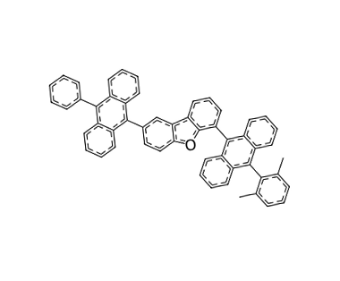 Cc1cccc(C)c1-c1c2ccccc2c(-c2cccc3c2oc2ccc(-c4c5ccccc5c(-c5ccccc5)c5ccccc45)cc23)c2ccccc12